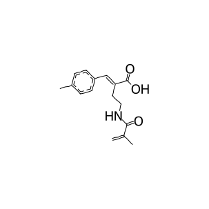 C=C(C)C(=O)NCC/C(=C\c1ccc(C)cc1)C(=O)O